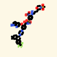 Cc1cc(C(F)(F)F)ccc1C1=C(CN2CCN(c3ccc(C(=O)NS(=O)(=O)c4ccc(NCCCC5CN(S(C)(=O)=O)CCO5)c([N+](=O)[O-])c4)c(Oc4cnc5[nH]ccc5c4)c3)CC2)CCC(C)(C)C1